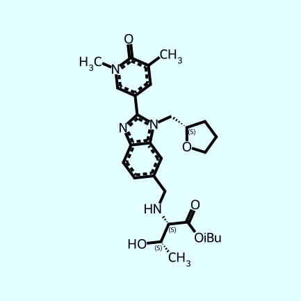 Cc1cc(-c2nc3ccc(CN[C@H](C(=O)OCC(C)C)[C@H](C)O)cc3n2C[C@@H]2CCCO2)cn(C)c1=O